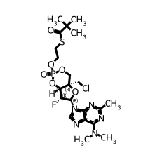 Cc1nc(N(C)C)c2ncn([C@@H]3O[C@]4(CCl)COP(=O)(OCCSC(=O)C(C)(C)C)O[C@H]4[C@H]3F)c2n1